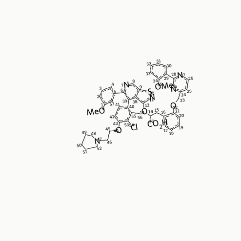 COc1cccc(-c2ncc3snc(OC(Cc4ccccc4OCc4ccnc(-c5ccccc5OC)n4)C(=O)O)c3c2-c2ccc(OCCN3CCCCC3)c(Cl)c2C)c1